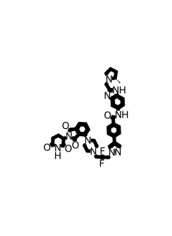 C[C@H]1CCCN1Cc1nc2cc(NC(=O)c3ccc(-c4cnn(CC(F)(F)CN5CCN(c6cccc7c6C(=O)N(C6CCC(=O)NC6=O)C7=O)CC5)c4)cc3)ccc2[nH]1